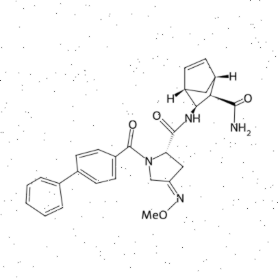 CON=C1C[C@@H](C(=O)N[C@@H]2[C@H](C(N)=O)[C@H]3C=C[C@@H]2C3)N(C(=O)c2ccc(-c3ccccc3)cc2)C1